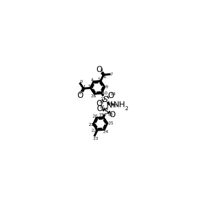 CC(=O)c1cc(C(C)=O)cc(S(=O)(=O)N(N)S(=O)(=O)c2ccc(C)cc2)c1